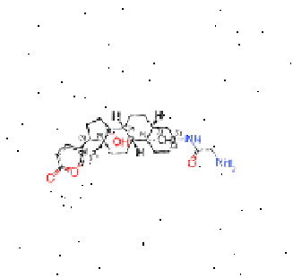 C[C@@]12CC[C@@H](NC(=O)CN)C[C@H]1CC[C@@H]1[C@H]2CC[C@]2(C)[C@@H](c3ccc(=O)oc3)CC[C@@]12O